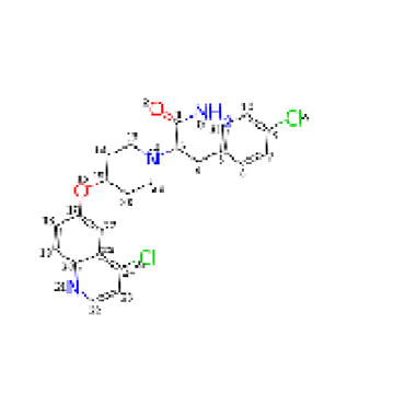 NC(=O)C(Cc1ccc(Cl)cc1)N1CCC(Oc2ccc3nccc(Cl)c3c2)CC1